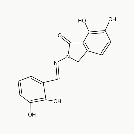 O=C1c2c(ccc(O)c2O)CN1/N=C/c1cccc(O)c1O